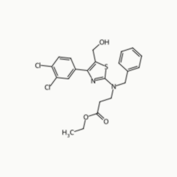 CCOC(=O)CCN(Cc1ccccc1)c1nc(-c2ccc(Cl)c(Cl)c2)c(CO)s1